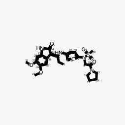 CC/C(Nc1ccc(N(CC(=O)N2CCCC2)S(C)(=O)=O)cc1)=C1/C(=O)Nc2cc(OC)c(OC)cc21